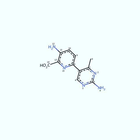 Cc1nc(N)ncc1-c1ccc(N)c(C(=O)O)n1